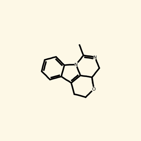 CC1=NCC2(C)OCCc3c2n1c1ccccc31